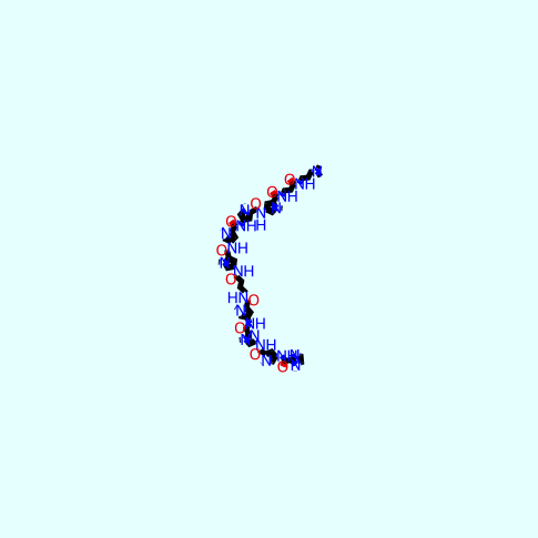 CN(C)CCCNC(=O)CCNC(=O)c1cc(NC(=O)c2cc(NC(=O)c3cc(NC(=O)c4cc(NC(=O)CCCNC(=O)c5cc(NC(=O)c6nc(NC(=O)c7cc(NC(=O)c8nccn8C)cn7C)cn6C)cn5C)cn4C)cn3C)cn2C)cn1C